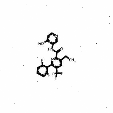 CCc1cc(C(F)(F)F)c(-c2c(F)cccc2F)nc1C(=O)Nc1cnccc1O